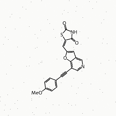 COc1ccc(C#Cc2cncc3cc(/C=C4/SC(=O)NC4=O)oc23)cc1